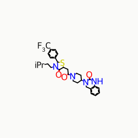 CC(C)CCN1C(=O)C(CC(=O)N2CCC(N3Cc4ccccc4NC3=O)CC2)SC1c1ccc(C(F)(F)F)cc1